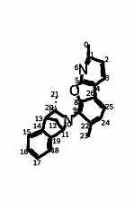 Cc1ccc2c(n1)oc1c(N3C4CC(c5ccccc54)[C@@H]3C)c(C)ccc12